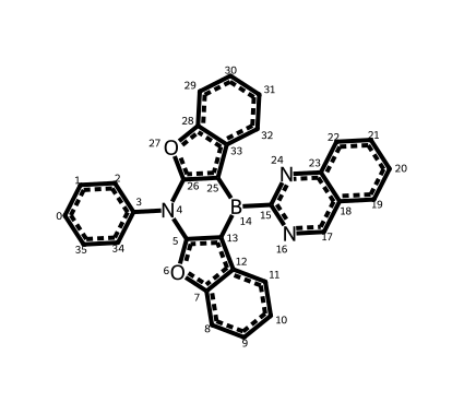 c1ccc(N2c3oc4ccccc4c3B(c3ncc4ccccc4n3)c3c2oc2ccccc32)cc1